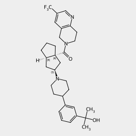 CC(C)(O)c1cccc(C2CCN([C@H]3C[C@H]4CCC[C@@]4(C(=O)N4CCc5ncc(C(F)(F)F)cc5C4)C3)CC2)c1